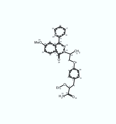 CCOC(Cc1ccc(OCC(C)n2nc(-c3ccccn3)c3cc(OC)ccc3c2=O)cc1)C(N)=O